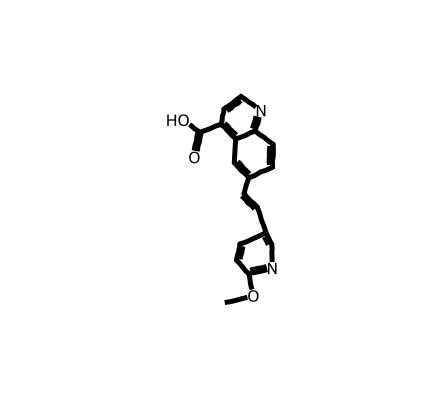 COc1ccc(/C=C/c2ccc3nccc(C(=O)O)c3c2)cn1